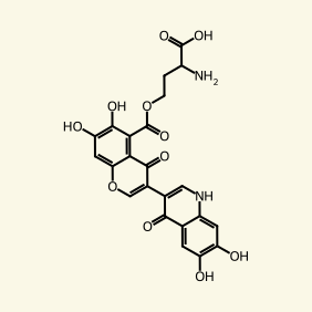 NC(CCOC(=O)c1c(O)c(O)cc2occ(-c3c[nH]c4cc(O)c(O)cc4c3=O)c(=O)c12)C(=O)O